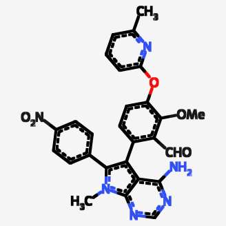 COc1c(Oc2cccc(C)n2)ccc(-c2c(-c3ccc([N+](=O)[O-])cc3)n(C)c3ncnc(N)c23)c1C=O